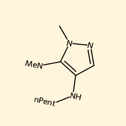 CCCCCNc1cnn(C)c1NC